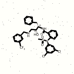 CS(=O)(=O)N(c1cc(Cl)cc(Cl)c1)c1ccccc1C(=O)N[C@@H](Cc1ccccc1)[C@H](O)CNCc1cccc(C(F)(F)F)c1